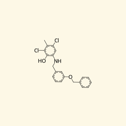 Cc1c(Cl)cc(NCc2cccc(OCc3ccccc3)c2)c(O)c1Cl